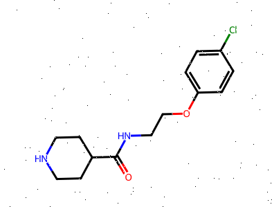 O=C(NCCOc1ccc(Cl)cc1)C1CCNCC1